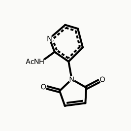 CC(=O)Nc1ncccc1N1C(=O)C=CC1=O